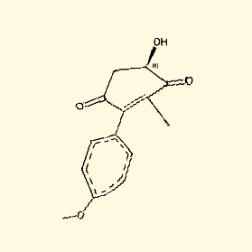 COc1ccc(C2=C(C)C(=O)[C@H](O)CC2=O)cc1